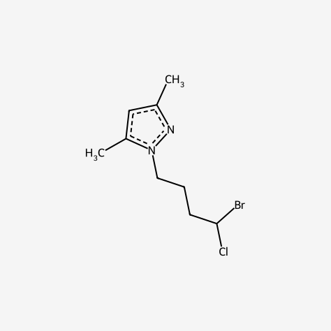 Cc1cc(C)n(CCCC(Cl)Br)n1